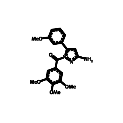 COc1cccc(-c2cc(N)nn2C(=O)c2cc(OC)c(OC)c(OC)c2)c1